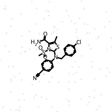 CC1=C(C(N)=O)N(S(C)(=O)=O)C(N(Cc2ccc(Cl)cc2)c2ccc(C#N)cc2)S1